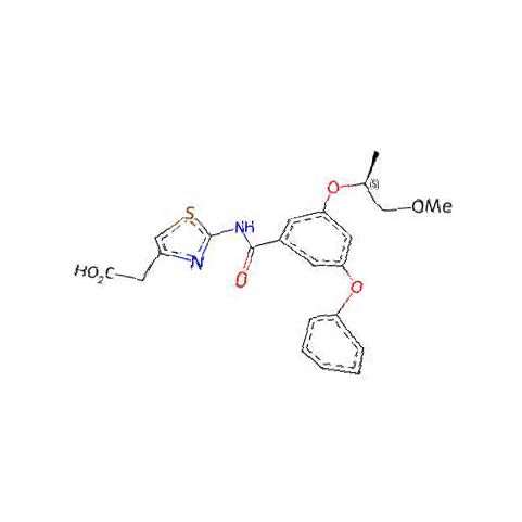 COC[C@H](C)Oc1cc(Oc2ccccc2)cc(C(=O)Nc2nc(CC(=O)O)cs2)c1